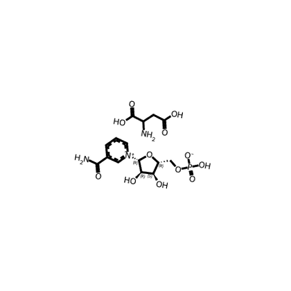 NC(=O)c1ccc[n+]([C@@H]2O[C@H](COP(=O)([O-])O)[C@@H](O)[C@H]2O)c1.NC(CC(=O)O)C(=O)O